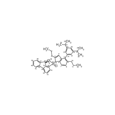 CCCC1=Cc2c(ccc(CCC)c2-c2cc(C(C)C)cc(C(C)C)c2)[CH]1[Zr]([Cl])([Cl])[c]1cccc2c1[SiH2]c1ccccc1-2